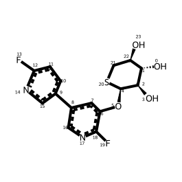 O[C@@H]1[C@@H](O)[C@@H](Oc2cc(-c3ccc(F)nc3)cnc2F)SC[C@H]1O